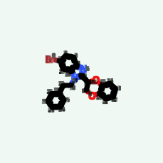 Brc1ccc2nc(C3COc4ccccc4O3)n(CCc3ccccc3)c2c1